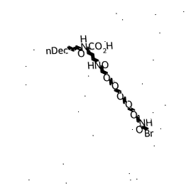 CCCCCCCCCCCCCC(=O)NC(CCCCNC(=O)CCOCCOCCOCCOCCOCCNC(=O)CBr)C(=O)O